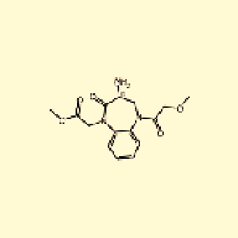 COCC(=O)N1C[C@H](N)C(=O)N(CC(=O)OC)c2ccccc21